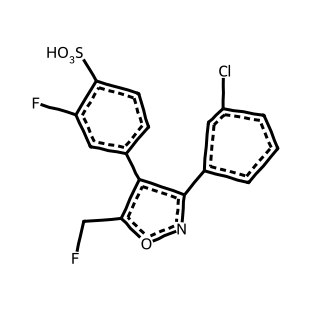 O=S(=O)(O)c1ccc(-c2c(-c3cccc(Cl)c3)noc2CF)cc1F